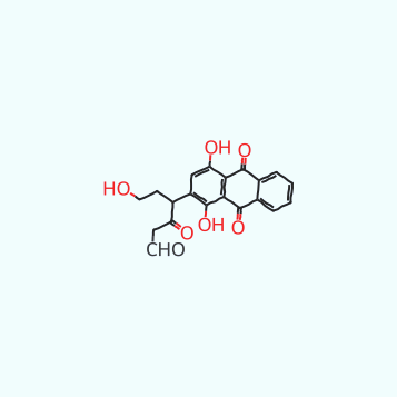 O=CCC(=O)C(CCO)c1cc(O)c2c(c1O)C(=O)c1ccccc1C2=O